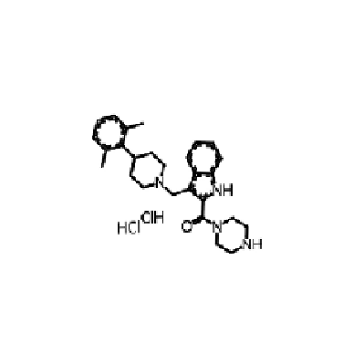 Cc1cccc(C)c1C1CCN(Cc2c(C(=O)N3CCNCC3)[nH]c3ccccc23)CC1.Cl.Cl